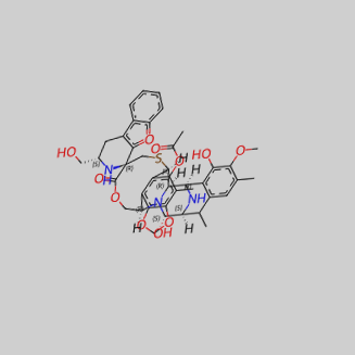 COc1c(C)cc2c(c1O)[C@H]1N[C@@H](C2C)[C@H](O)N2[C@H]1[C@@H]1SC[C@]3(N[C@H](CO)Cc4c3oc3ccccc43)C(=O)OC[C@H]2c2c3c(c(C)c(OC(C)=O)c21)OCO3